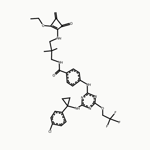 C=C1C(=O)C(NCC(C)(C)CNC(=O)c2ccc(Nc3nc(NC4(c5ccc(Cl)cc5)CC4)nc(OCC(F)(F)F)n3)cc2)=C1OCC